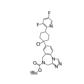 CC(C)(C)OC(=O)N1Cc2cc(C3(Cl)CCC(c4ncc(F)cc4F)CC3)ccc2-n2cnnc2C1